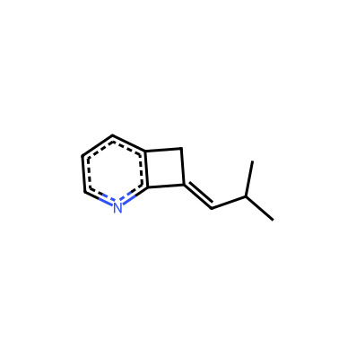 CC(C)/C=C1\Cc2cccnc21